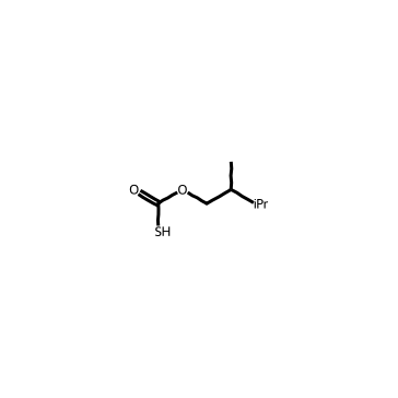 CC(C)C(C)COC(=O)S